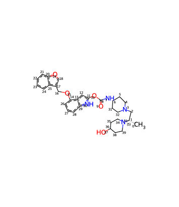 C[C@@H](CN1CCC(NC(=O)Oc2cc3c(OCc4coc5ccccc45)cccc3[nH]2)CC1)N1CCC(O)CC1